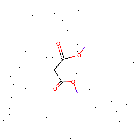 O=C(CC(=O)OI)OI